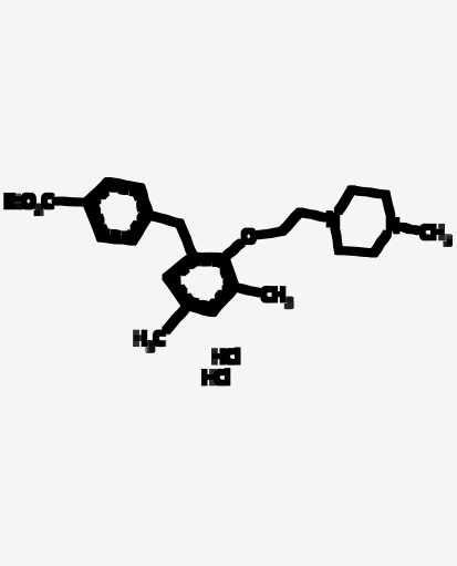 CCOC(=O)c1ccc(Cc2cc(C)cc(C)c2OCCN2CCN(C)CC2)cc1.Cl.Cl